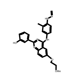 C=NNc1ccc(Nc2nc(-c3cccc(O)c3)nc3ccc(OCCOC)cc23)cc1C